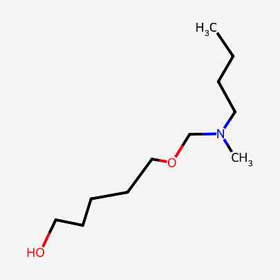 CCCCN(C)COCCCCCO